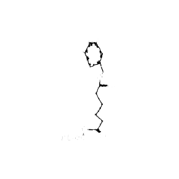 CCCCCCCCCCOC(=O)CCCCC(=O)OCc1ccccc1